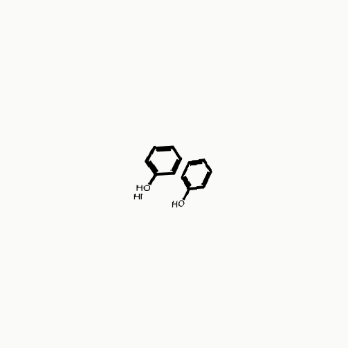 I.Oc1ccccc1.Oc1ccccc1